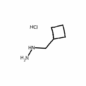 Cl.NNCC1CCC1